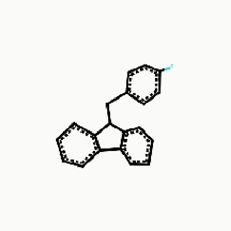 Fc1ccc(CC2c3ccccc3-c3ccccc32)cc1